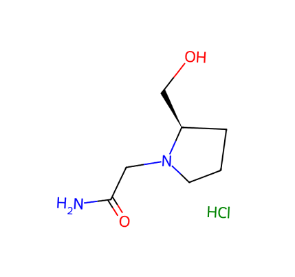 Cl.NC(=O)CN1CCC[C@@H]1CO